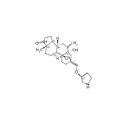 C=C1C[C@H]2[C@@H]3CCC(=O)[C@@]3(C)CC[C@@H]2[C@@]2(C)CC/C(=N\O[C@H]3CCNC3)C[C@]12O